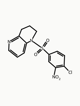 O=[N+]([O-])c1cc(S(=O)(=O)N2CCCc3ncccc32)ccc1Cl